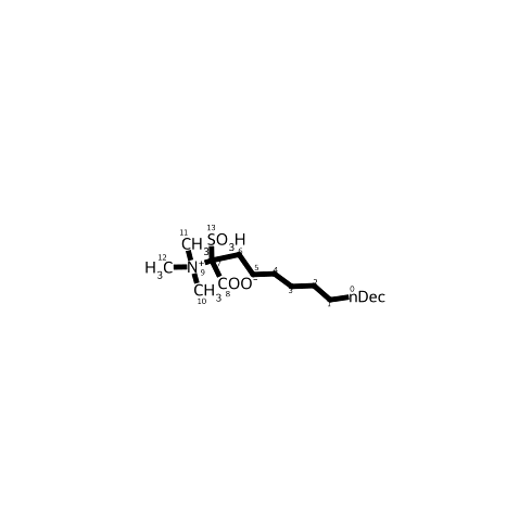 CCCCCCCCCCCCCCCCC(C(=O)[O-])([N+](C)(C)C)S(=O)(=O)O